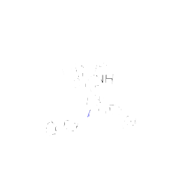 COC(=O)c1ccc(C(CC(=O)N[C@H](C(=O)[C@@H]2C(=O)NC(=O)[C@H]2C)C(C)C)NC(=O)/C=C/c2ccc(-c3ccccc3)cc2)cc1